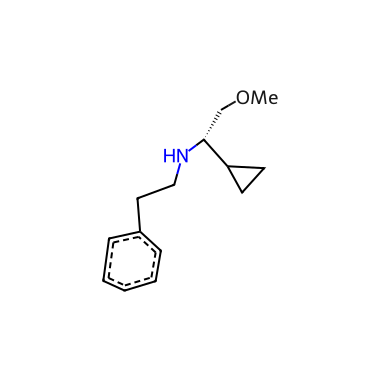 COC[C@@H](NCCc1ccccc1)C1CC1